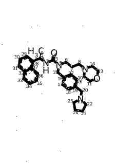 C[C@H](NC(=O)N(CCCN1CCOCC1)Cc1ccc(CN2CCCC2)cc1)c1cccc2ccccc12